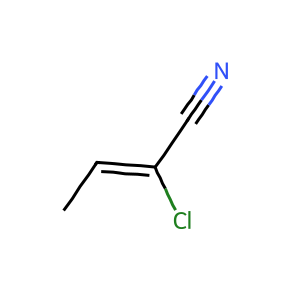 C/C=C(\Cl)C#N